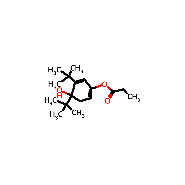 CCC(=O)OC1=CCC(O)(C(C)(C)C)C(C(C)(C)C)=C1